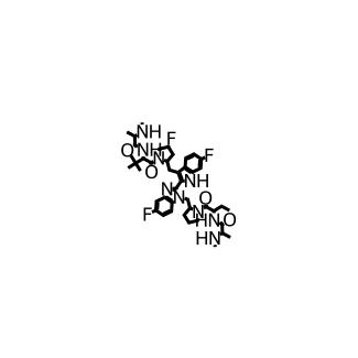 CCC(NC(=O)C(C)NC)C(=O)N1CCCC1Cn1c(-c2[nH]c3cc(F)ccc3c2CC2CC(F)CN2C(=O)C(NC(=O)C(C)NC)C(C)(C)C)nc2cc(F)ccc21